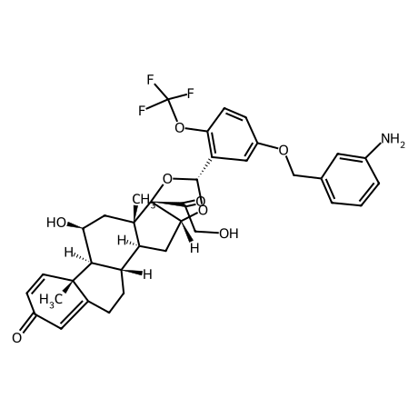 C[C@]12C=CC(=O)C=C1CC[C@@H]1[C@@H]2[C@@H](O)C[C@@]2(C)[C@H]1C[C@H]1O[C@@H](c3cc(OCc4cccc(N)c4)ccc3OC(F)(F)F)O[C@]12C(=O)CO